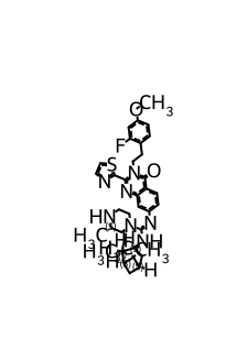 COc1ccc(CCn2c(-c3nccs3)nc3cc(N=C(N[C@H]4C[C@@H]5C[C@@H]([C@H]4C)C5(C)C)N4CCN[C@@H](C)C4)ccc3c2=O)c(F)c1